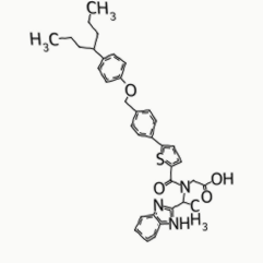 CCCC(CCC)c1ccc(OCc2ccc(-c3ccc(C(=O)N(CC(=O)O)C(C)c4nc5ccccc5[nH]4)s3)cc2)cc1